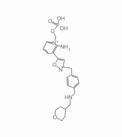 Nc1c(-c2cc(Cc3ccc(CNCC4CCOCC4)cc3)no2)ccc[n+]1COP(=O)(O)O